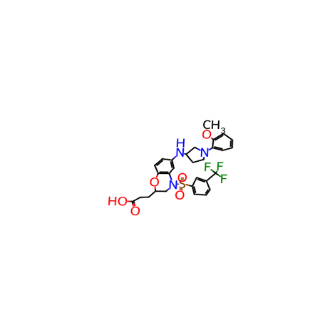 COc1ccccc1N1CCC(Nc2ccc3c(c2)N(S(=O)(=O)c2cccc(C(F)(F)F)c2)CC(CCC(=O)O)O3)C1